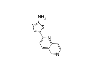 Nc1ncc(-c2ccc3cnccc3n2)s1